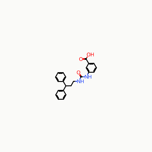 O=C(NCCC(c1ccccc1)c1ccccc1)Nc1cccc(C(=O)O)c1